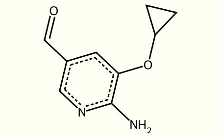 Nc1ncc(C=O)cc1OC1CC1